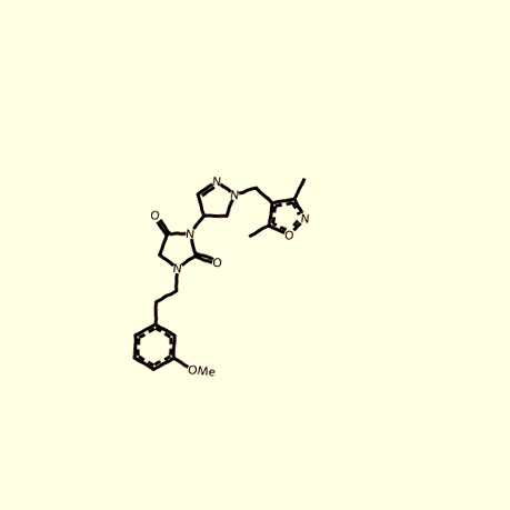 COc1cccc(CCN2CC(=O)N(C3C=NN(Cc4c(C)noc4C)C3)C2=O)c1